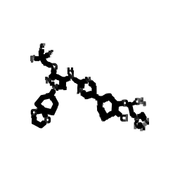 C[C@@H](Cn1cnnn1)Oc1cc(-c2cnc(Nc3cn(C4CCC5(CC4)OCCO5)nc3OCC(F)(F)F)nc2)ccc1Cl